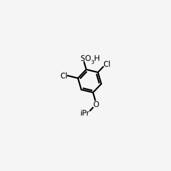 CC(C)Oc1cc(Cl)c(S(=O)(=O)O)c(Cl)c1